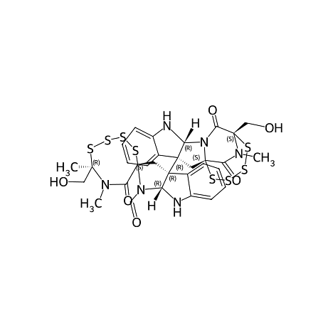 CN1C(=O)[C@]2(C[C@]3([C@]45C[C@@]67SSSS[C@@](CO)(C(=O)N6[C@H]4Nc4ccccc45)N(C)C7=O)c4ccccc4N[C@@H]3N2C=O)SSSS[C@]1(C)CO